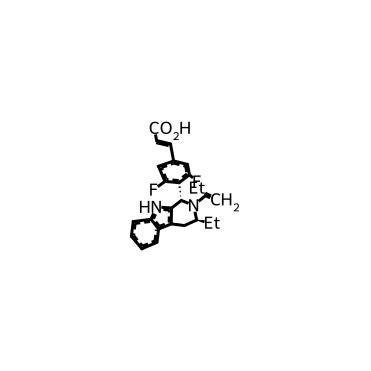 C=C(CC)N1[C@@H](CC)Cc2c([nH]c3ccccc23)[C@@H]1c1c(F)cc(/C=C/C(=O)O)cc1F